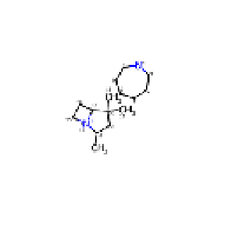 C1CCC[N]CC1.CC1CC(C)(C)C2CC[N+]12